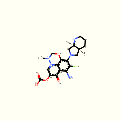 CN1COc2c(N3C[C@@H]4CCCN[C@@H]4C3)c(F)c(N)c3c(=O)c(OC(=O)O)cn1c23